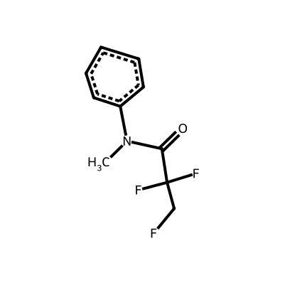 CN(C(=O)C(F)(F)CF)c1ccccc1